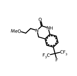 COCCN1Cc2cc(C(F)(C(F)(F)F)C(F)(F)F)ccc2NC1=O